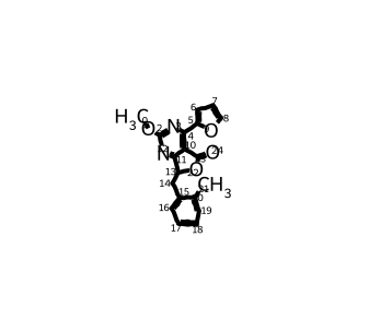 COc1nc(-c2ccco2)c2c(n1)C(Cc1ccccc1C)OC2=O